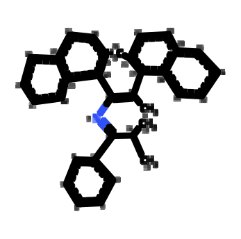 C/C(=C(\N=C(\c1ccccc1)C(C)C)c1cccc2ccccc12)c1c(C)ccc2ccccc12